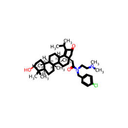 CC(C)C1=C2[C@H]3CC[C@@H]4[C@@]5(C)CC[C@H](O)C(C)(C)[C@@H]5CC[C@@]4(C)[C@]3(C)CC[C@@]2(CC(=O)N(CCN(C)C)Cc2ccc(Cl)cc2)CC1=O